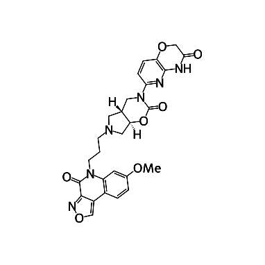 COc1ccc2c3conc3c(=O)n(CCCN3C[C@@H]4CN(c5ccc6c(n5)NC(=O)CO6)C(=O)O[C@H]4C3)c2c1